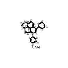 COc1ccc(-c2cc(-c3ccccc3)c3ccc4ncnc5ccc2c3c45)cc1